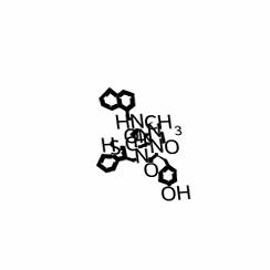 C[C@H]1[C@H]2N(C(=O)CN(C)N2C(=O)NCc2cccc3ccccc23)[C@@H](Cc2ccc(O)cc2)C(=O)N1Cc1csc2ccccc12